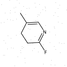 CC1=CN=C(F)CC1